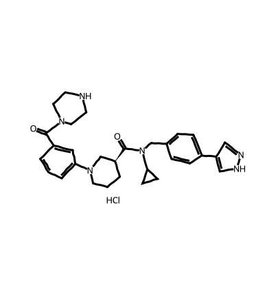 Cl.O=C(c1cccc(N2CCC[C@H](C(=O)N(Cc3ccc(-c4cn[nH]c4)cc3)C3CC3)C2)c1)N1CCNCC1